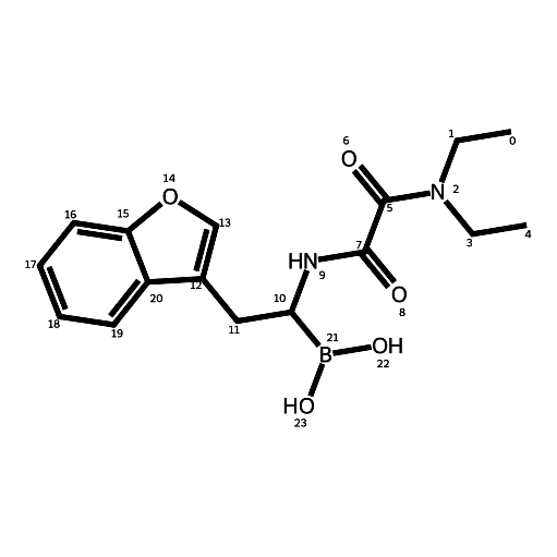 CCN(CC)C(=O)C(=O)NC(Cc1coc2ccccc12)B(O)O